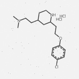 CN(C)CCC1CCNC(CCOc2ccc(Cl)cc2)C1.Cl.Cl